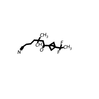 CC(C)(CCCC#N)CC(=O)C12CC(C(C)(F)F)(C1)C2